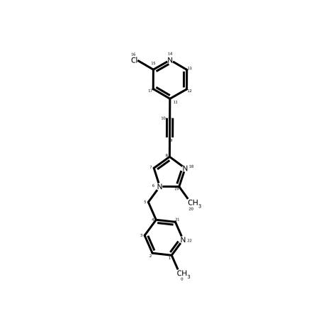 Cc1ccc(Cn2cc(C#Cc3ccnc(Cl)c3)nc2C)cn1